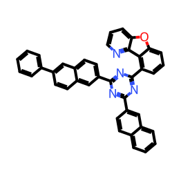 c1ccc(-c2ccc3cc(-c4nc(-c5ccc6ccccc6c5)nc(-c5cccc6oc7cccnc7c56)n4)ccc3c2)cc1